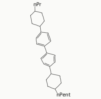 CCCCCC1CCC(c2ccc(-c3ccc(C4CCC(CCC)CC4)cc3)cc2)CC1